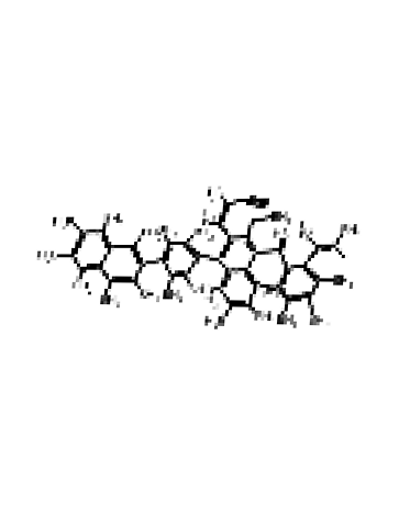 B=C(c1c(B)c(B)c(B)c(B)c1/C(B)=C(/B)C)c1c(CB)c(/C(B)=C(/B)C#C)c(-c2c(B)c(B)c(-c3c(B)c(B)c4c(B)c(B)c(B)c(B)c4c3B)c(B)c2B)c2c(B)c(B)c(B)c(B)c12